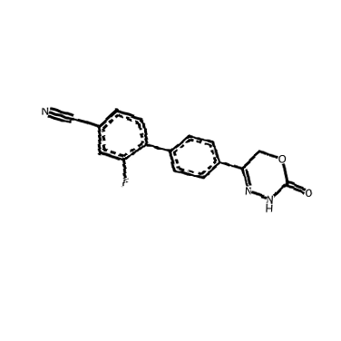 N#Cc1ccc(-c2ccc(C3=NNC(=O)OC3)cc2)c(F)c1